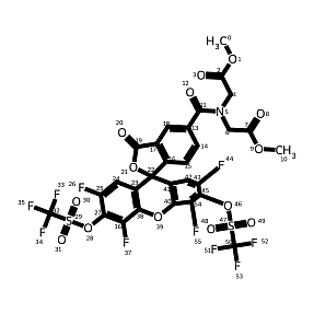 COC(=O)CN(CC(=O)OC)C(=O)c1ccc2c(c1)C(=O)OC21c2cc(F)c(OS(=O)(=O)C(F)(F)F)c(F)c2Oc2c1cc(F)c(OS(=O)(=O)C(F)(F)F)c2F